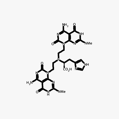 CNc1nc2c(c(N)nc(=O)n2CCN(CCn2c(=O)nc(N)c3c(=O)[nH]c(NC)nc32)[C@@H](Cc2c[nH]cn2)C(=O)O)c(=O)[nH]1